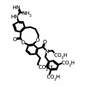 CCOC(=O)CCc1ccc2c(c1C(=O)N(CC(=O)O)Cc1cc(C(=O)O)cc(C(=O)O)c1)OCCCc1cc(NC(=N)N)ccc1C(=O)O2